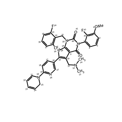 COc1cccc(-n2c(=O)c3c(CN(C)C)c(-c4ccc(N5C=CC=CC5)nc4)sc3n(Cc3c(F)cccc3C(F)(F)F)c2=O)c1F